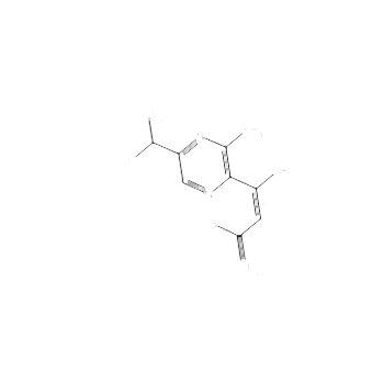 C=C(S)/C=C(/S)c1ncc(C(C)C)nc1C